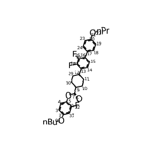 CCCCOc1ccc(OC(=O)C2CCC(c3ccc(-c4ccc(OCCC)cc4)c(F)c3F)CC2)c(F)c1